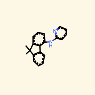 CC1(C)c2ccccc2-c2c(Nc3ccccn3)cccc21